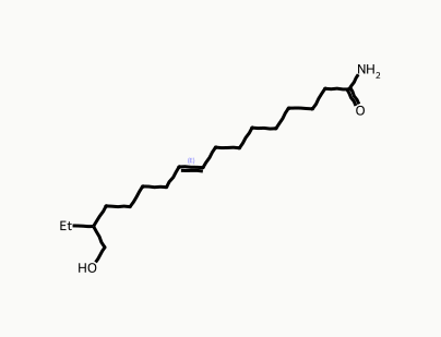 CCC(CO)CCCC/C=C/CCCCCCCC(N)=O